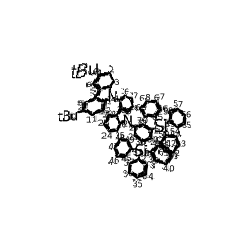 CC(C)(C)c1ccc2c(c1)c1cc(C(C)(C)C)ccc1n2-c1cccc2c1c1ccccc1n2-c1cc([Si](c2ccccc2)(c2ccccc2)c2ccccc2)cc([Si](c2ccccc2)(c2ccccc2)c2ccccc2)c1